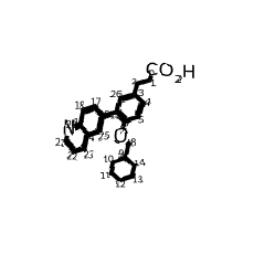 O=C(O)CCc1ccc(OCC2CCCCC2)c(-c2ccc3ncccc3c2)c1